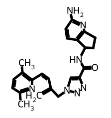 C=C(/C=C\c1nc(C)ccc1C)Cn1cc(C(=O)NC2CCc3nc(N)ccc32)nn1